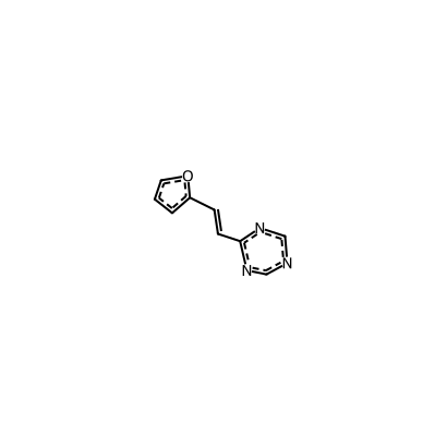 C(=Cc1ccco1)c1ncncn1